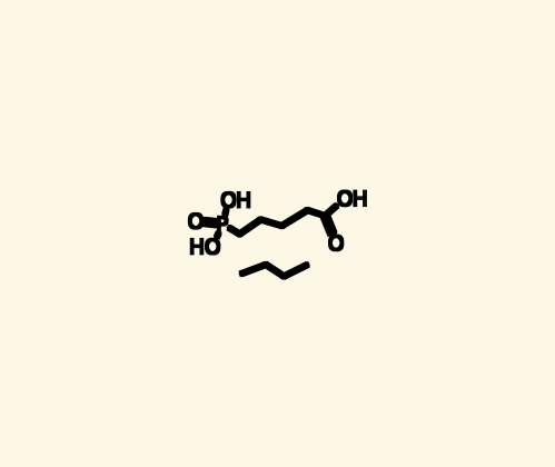 CCCC.O=C(O)CCCCP(=O)(O)O